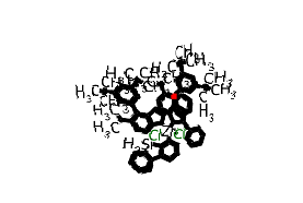 CC(C)c1ccc2c(c1-c1cc(C(C)(C)C)cc(C(C)(C)C)c1)C=C(c1ccccc1)[CH]2[Zr]([Cl])([Cl])([c]1cccc2c1[SiH2]c1ccccc1-2)[CH]1C(c2ccccc2)=Cc2c1ccc(C(C)C)c2-c1cc(C(C)(C)C)cc(C(C)(C)C)c1